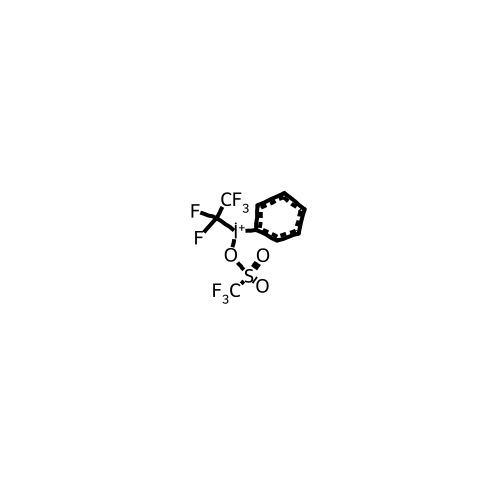 O=S(=O)(O[I+](c1ccccc1)C(F)(F)C(F)(F)F)C(F)(F)F